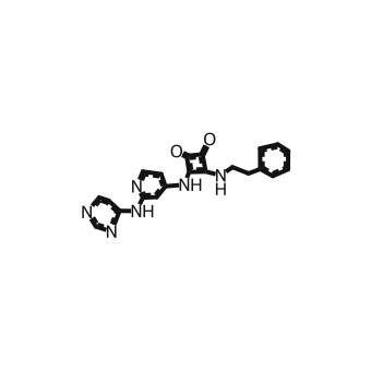 O=c1c(NCCc2ccccc2)c(Nc2ccnc(Nc3ccncn3)c2)c1=O